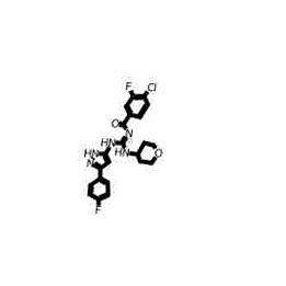 O=C(/N=C(\Nc1cc(-c2ccc(F)cc2)n[nH]1)NC1CCOCC1)c1ccc(Cl)c(F)c1